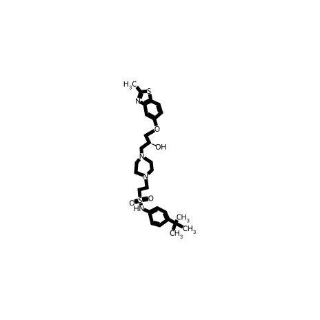 Cc1nc2cc(OC[C@H](O)CN3CCN(CCS(=O)(=O)Nc4ccc(C(C)(C)C)cc4)CC3)ccc2s1